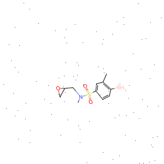 Bc1ccc(S(=O)(=O)N(C)CC2CO2)cc1C